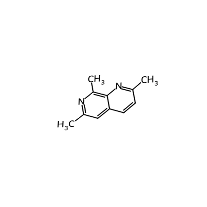 Cc1cc2ccc(C)nc2c(C)n1